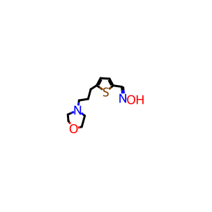 ON=Cc1ccc(CCCN2CCOCC2)s1